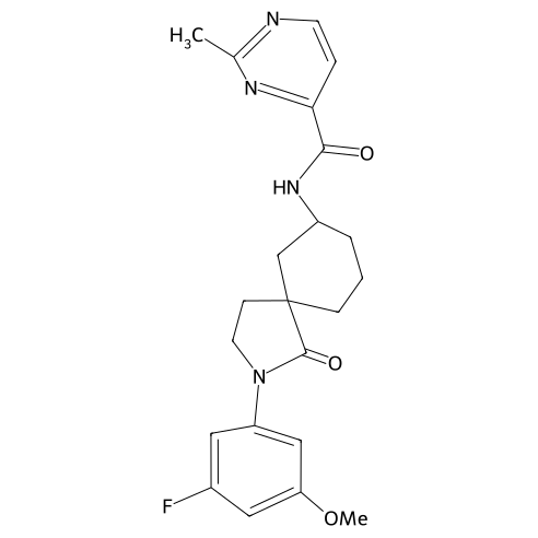 COc1cc(F)cc(N2CCC3(CCCC(NC(=O)c4ccnc(C)n4)C3)C2=O)c1